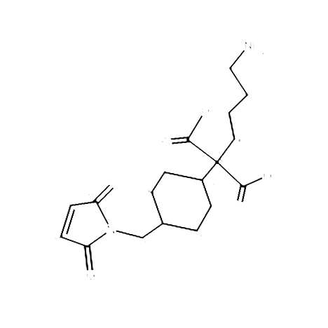 NCCCCC(C(=O)O)(C(=O)O)C1CCC(CN2C(=O)C=CC2=O)CC1